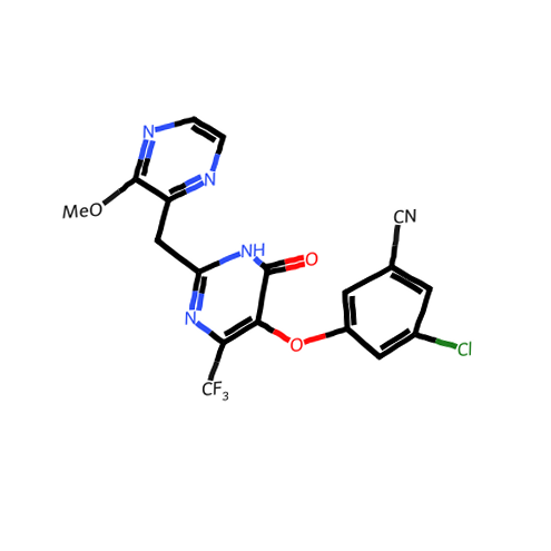 COc1nccnc1Cc1nc(C(F)(F)F)c(Oc2cc(Cl)cc(C#N)c2)c(=O)[nH]1